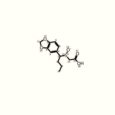 CCCC(c1ccc2c(c1)OCO2)[S+]([O-])CC(=O)O